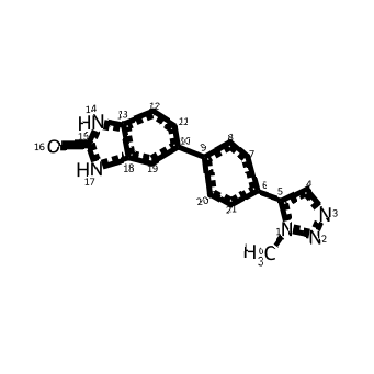 Cn1nncc1-c1ccc(-c2ccc3[nH]c(=O)[nH]c3c2)cc1